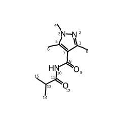 Cc1nn(C)c(C)c1C(=O)NC(=O)C(C)C